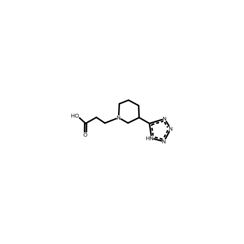 O=C(O)CCN1CCCC(c2nnn[nH]2)C1